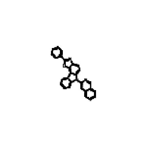 c1ccc(-c2nc3ccc4c(c5ccccc5n4-c4cc5ccccc5cn4)c3o2)cc1